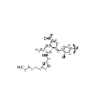 CCCCCCC1COC(CNC(=O)C(C)Oc2cc(Oc3ccc(C(F)(F)F)cc3Br)ccc2[N+](=O)[O-])O1